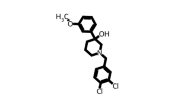 COc1cccc(C2(O)CCCN(Cc3ccc(Cl)c(Cl)c3)C2)c1